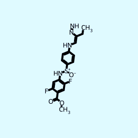 CC/C(=C/Nc1ccc([S+]([O-])Nc2cc(F)c(C(=O)OC)cc2F)cc1)N=N